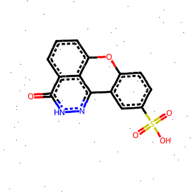 O=c1[nH]nc2c3c(cccc13)Oc1ccc(S(=O)(=O)O)cc1-2